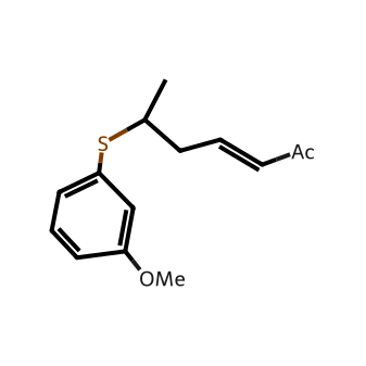 COc1cccc(SC(C)CC=CC(C)=O)c1